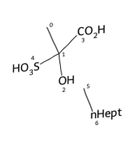 CC(O)(C(=O)O)S(=O)(=O)O.CCCCCCCC